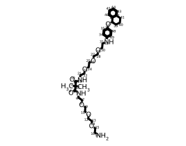 CC(C)(C(=O)NCCOCCOCCOCCN)C(=O)NCCOCCOCCOCCNc1ccc(O[C@@H]2CCCc3ccccc32)cc1